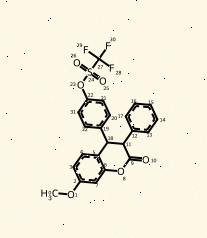 COc1ccc2c(c1)OC(=O)C(c1ccccc1)C2c1ccc(OS(=O)(=O)C(F)(F)F)cc1